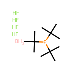 B.CC(C)(C)P(C(C)(C)C)C(C)(C)C.F.F.F.F